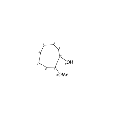 COC1CCCCCCC1O